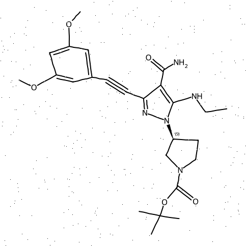 CCNc1c(C(N)=O)c(C#Cc2cc(OC)cc(OC)c2)nn1[C@H]1CCN(C(=O)OC(C)(C)C)C1